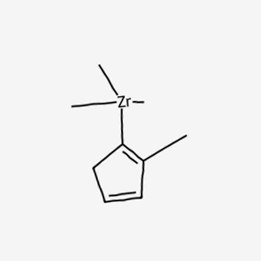 CC1=[C]([Zr]([CH3])([CH3])[CH3])CC=C1